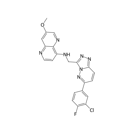 COc1cnc2c(NCc3nnc4ccc(-c5ccc(F)c(Cl)c5)nn34)ccnc2c1